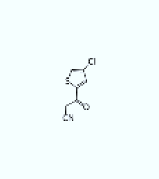 N#CCC(=O)c1cc(Cl)cs1